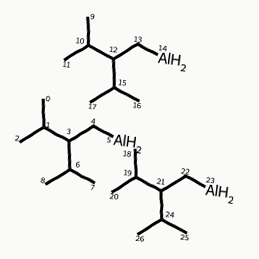 CC(C)C([CH2][AlH2])C(C)C.CC(C)C([CH2][AlH2])C(C)C.CC(C)C([CH2][AlH2])C(C)C